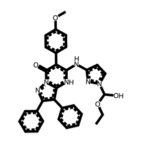 CCOC(O)n1ccc(Nc2[nH]c3c(-c4ccccc4)c(-c4ccccc4)nn3c(=O)c2-c2ccc(OC)cc2)n1